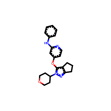 c1ccc(Nc2cc(Oc3c4c(nn3C3CCOCC3)CCC4)ccn2)cc1